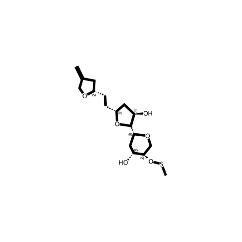 C=C1CO[C@@H](CC[C@@H]2C[C@@H](O)C([C@H]3C[C@@H](O)[C@@H](OSC)CO3)O2)C1